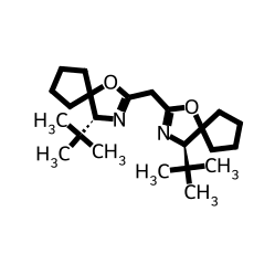 CC(C)(C)[C@H]1N=C(CC2=N[C@H](C(C)(C)C)C3(CCCC3)O2)OC12CCCC2